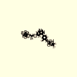 Cc1cc(-c2ncnn3cc(OC[C@@H](F)COS(=O)(=O)C(F)(F)F)cc23)ccc1CNC(=O)OC(C)(C)C